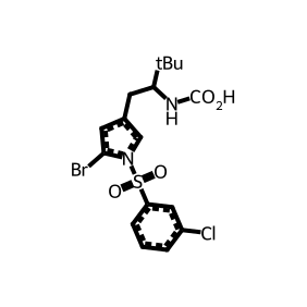 CC(C)(C)C(Cc1cc(Br)n(S(=O)(=O)c2cccc(Cl)c2)c1)NC(=O)O